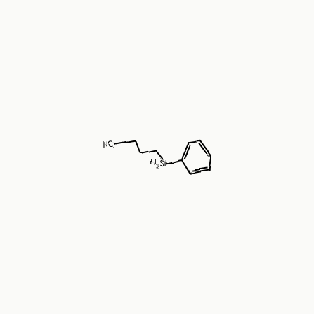 N#CCCC[SiH2]c1ccccc1